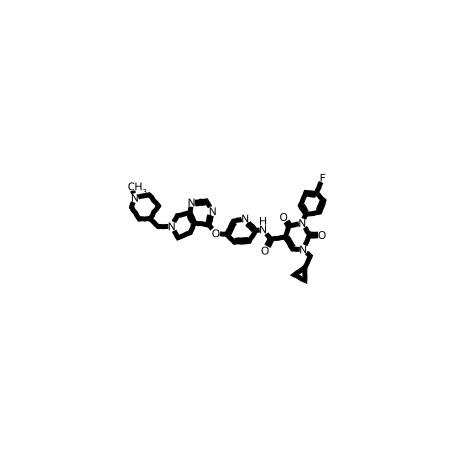 CN1CCC(CN2CCc3c(ncnc3Oc3ccc(NC(=O)c4cn(CC5CC5)c(=O)n(-c5ccc(F)cc5)c4=O)nc3)C2)CC1